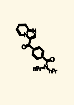 CCCN(CCC)C(=O)c1ccc(C(=O)c2cnc3ccccn23)cc1